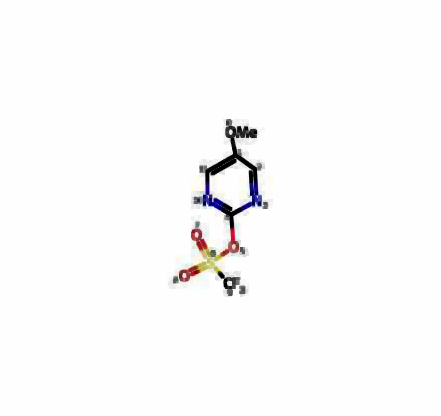 COc1cnc(OS(=O)(=O)C(F)(F)F)nc1